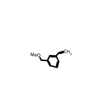 C=Cc1cccc(COC)c1